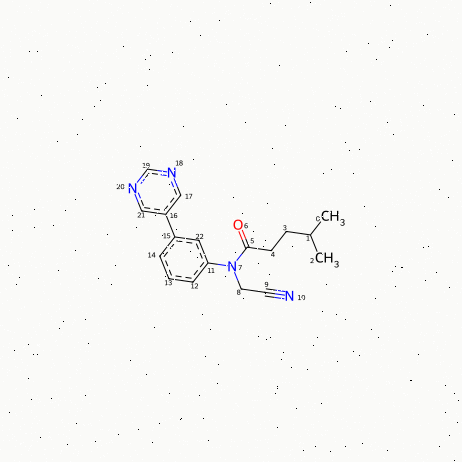 CC(C)CCC(=O)N(CC#N)c1cccc(-c2cncnc2)c1